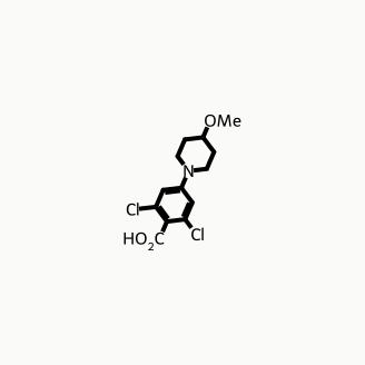 COC1CCN(c2cc(Cl)c(C(=O)O)c(Cl)c2)CC1